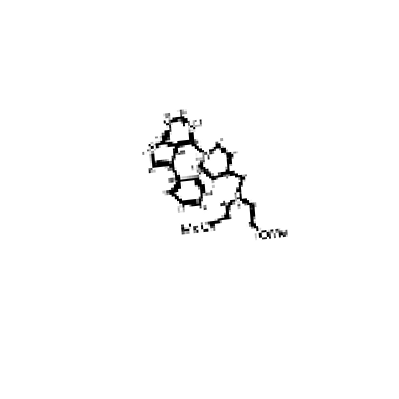 COCCN(CCOC)CC1CCN(c2ncnc3scc(-c4ccccc4)c23)CC1